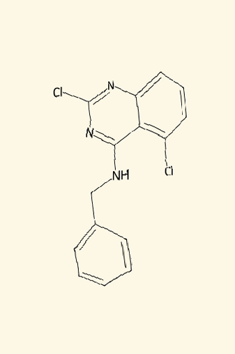 Clc1nc(NCc2ccccc2)c2c(Cl)cccc2n1